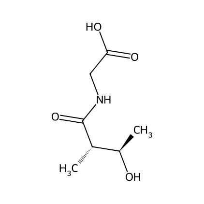 C[C@H](C(=O)NCC(=O)O)[C@@H](C)O